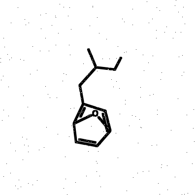 CCC(C)Cc1cc2ccc1o2